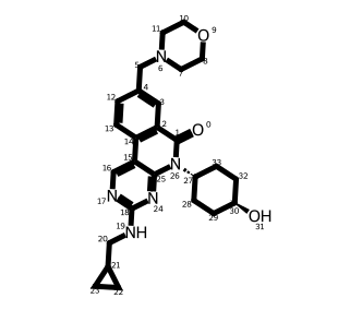 O=c1c2cc(CN3CCOCC3)ccc2c2cnc(NCC3CC3)nc2n1[C@H]1CC[C@H](O)CC1